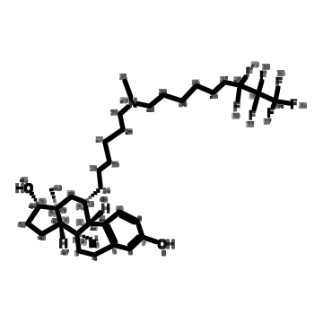 C=C[C@@]12CCc3cc(O)ccc3[C@H]1[C@@H](CCCCCCN(C)CCCCCCC(F)(F)C(F)(F)C(F)(F)F)C[C@@]1(C)[C@H]2CC[C@@H]1O